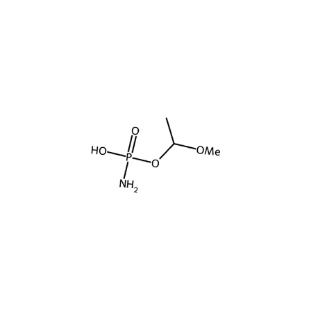 COC(C)OP(N)(=O)O